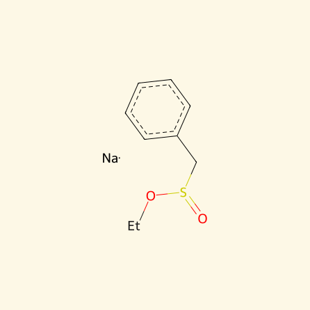 CCOS(=O)Cc1ccccc1.[Na]